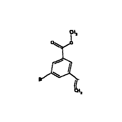 C=[C]c1cc(Br)cc(C(=O)OC)c1